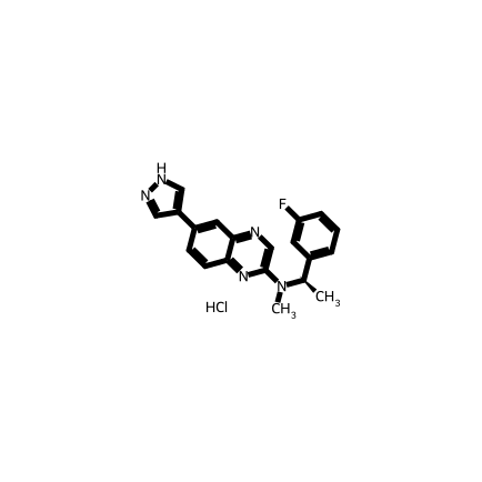 C[C@H](c1cccc(F)c1)N(C)c1cnc2cc(-c3cn[nH]c3)ccc2n1.Cl